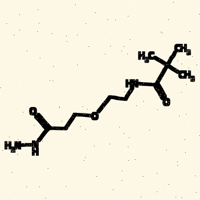 CC(C)(C)C(=O)NCCOCCC(=O)NN